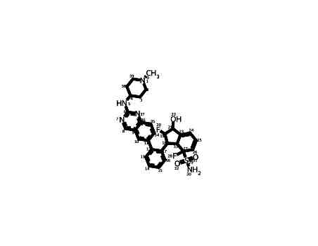 CN1CCC(Nc2ncc3cc(-c4ccccc4C4C(F)C(O)C5=CC=CC(F)(S(N)(=O)=O)C54)ccc3n2)CC1